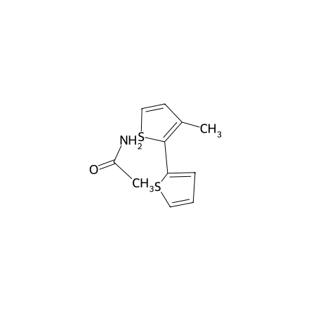 CC(N)=O.Cc1ccsc1-c1cccs1